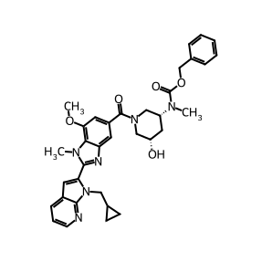 COc1cc(C(=O)N2C[C@@H](O)C[C@@H](N(C)C(=O)OCc3ccccc3)C2)cc2nc(-c3cc4cccnc4n3CC3CC3)n(C)c12